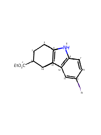 CCOC(=O)C1CCc2[nH]c3ccc(I)cc3c2C1